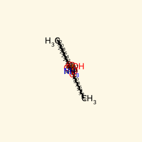 CCCCCCCCCCCCCOC(=O)CC(C(=O)OCCCCCCCCCCCCC)S(=O)(=O)O.N